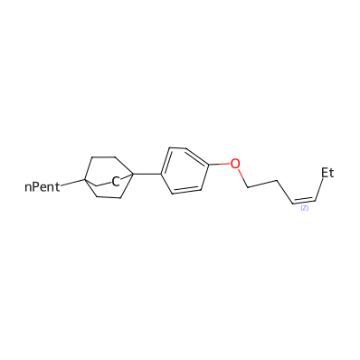 CC/C=C\CCOc1ccc(C23CCC(CCCCC)(CC2)CC3)cc1